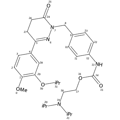 COc1ccc(C2=NN(Cc3ccc(NC(=O)OCCN(C(C)C)C(C)C)cc3)C(=O)CC2)cc1OC(C)C